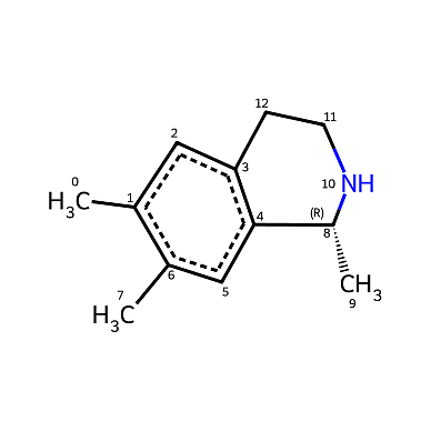 Cc1cc2c(cc1C)[C@@H](C)NCC2